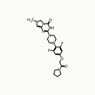 CN1C=C2N=C(N3CCN(c4c(F)cc(OCC(=O)N5CCCC5)cc4F)CC3)NC(=O)N2C1